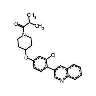 CC(C)C(=O)N1CCC(Oc2ccc(-c3cnc4ccccc4c3)c(Cl)c2)CC1